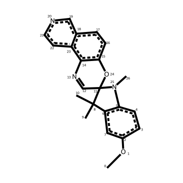 COc1ccc2c(c1)C(C)(C)C1(C=Nc3c(ccc4cnccc34)O1)N2C